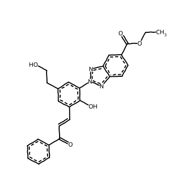 CCOC(=O)c1ccc2nn(-c3cc(CCO)cc(C=CC(=O)c4ccccc4)c3O)nc2c1